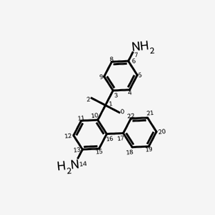 CC(C)(c1ccc(N)cc1)c1ccc(N)cc1-c1ccccc1